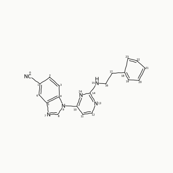 N#Cc1ccc2c(c1)ncn2-c1ccnc(NCCc2ccccc2)n1